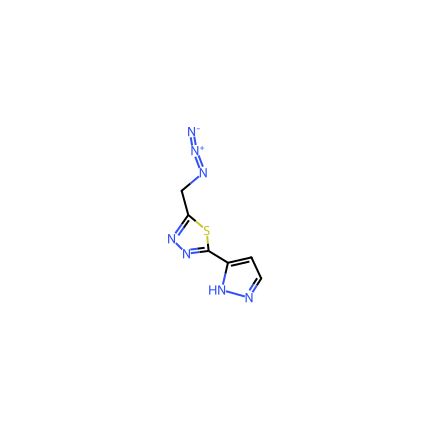 [N-]=[N+]=NCc1nnc(-c2ccn[nH]2)s1